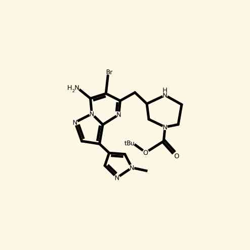 Cn1cc(-c2cnn3c(N)c(Br)c(CC4CN(C(=O)OC(C)(C)C)CCN4)nc23)cn1